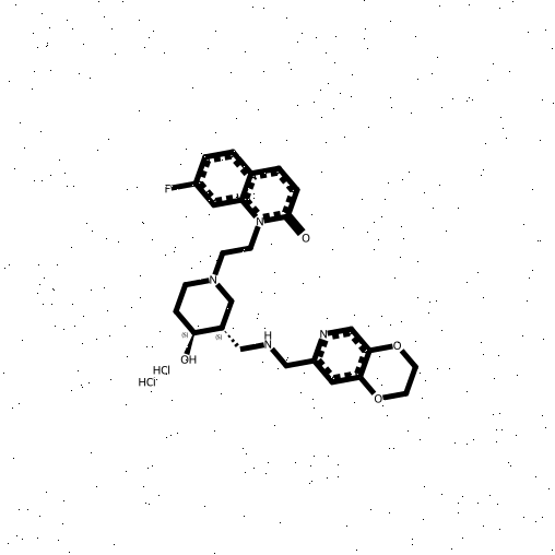 Cl.Cl.O=c1ccc2ccc(F)cc2n1CCN1CC[C@H](O)[C@@H](CNCc2cc3c(cn2)OCCO3)C1